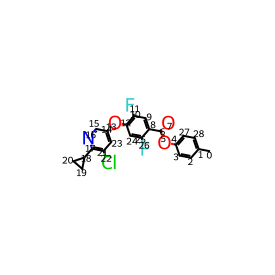 Cc1ccc(OC(=O)c2cc(F)c(Oc3cnc(C4CC4)c(Cl)c3)cc2F)cc1